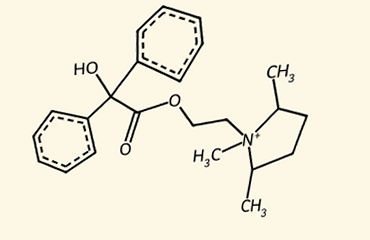 CC1CCC(C)[N+]1(C)CCOC(=O)C(O)(c1ccccc1)c1ccccc1